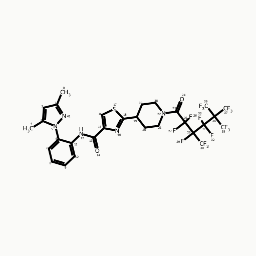 Cc1cc(C)n(-c2ccccc2NC(=O)c2csc(C3CCN(C(=O)C(F)(F)C(F)(C(F)(F)F)C(F)(F)C(C(F)(F)F)(C(F)(F)F)C(F)(F)F)CC3)n2)n1